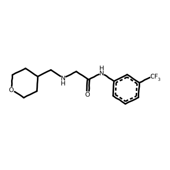 O=C(CNCC1CCOCC1)Nc1cccc(C(F)(F)F)c1